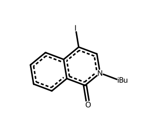 CCC(C)n1cc(I)c2ccccc2c1=O